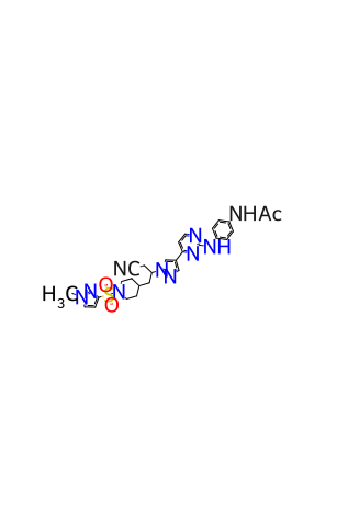 CC(=O)Nc1ccc(Nc2nccc(-c3cnn(C(CC#N)CC4CCN(S(=O)(=O)c5ccn(C)n5)CC4)c3)n2)cc1